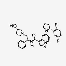 O=C(N[C@H](CN1CC[C@H](O)C1)c1ccccc1)c1cnn2ccc(N3CCC[C@@H]3c3cc(F)ccc3F)cc12